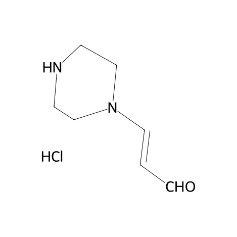 Cl.O=CC=CN1CCNCC1